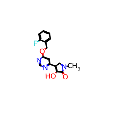 CN1CC(c2cc(OCc3ccccc3F)ncn2)=C(O)C1=O